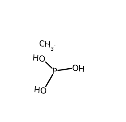 OP(O)O.[CH3]